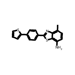 Cc1ccc(N)c2sc(-c3ccc(-c4cccs4)cc3)nc12